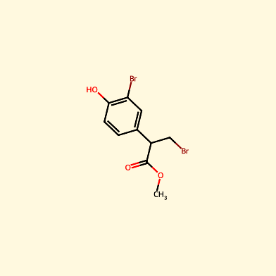 COC(=O)C(CBr)c1ccc(O)c(Br)c1